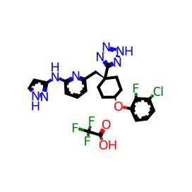 Fc1c(Cl)cccc1O[C@H]1CC[C@@](Cc2cccc(Nc3cc[nH]n3)n2)(c2nn[nH]n2)CC1.O=C(O)C(F)(F)F